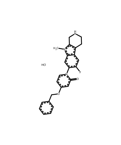 Cl.Cn1c2c(c3cc(F)c(-n4ccc(OCc5ccccc5)cc4=O)cc31)CCNC2